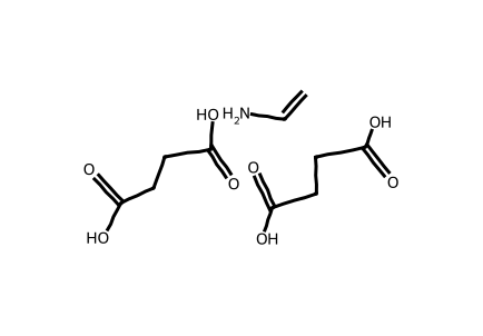 C=CN.O=C(O)CCC(=O)O.O=C(O)CCC(=O)O